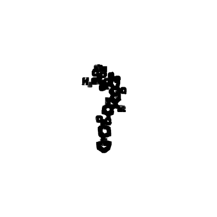 CCc1c2c(nc3ccc(OC(=O)N4CCC(N5CCCCC5)CC4)cc13)-c1cc3c(c(=O)n1C2)COC(=O)[C@@]3(CC)OC(=O)N(C)C(=O)OC(C)(C)C